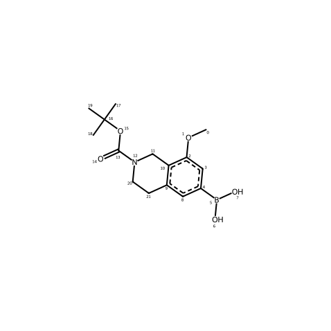 COc1cc(B(O)O)cc2c1CN(C(=O)OC(C)(C)C)CC2